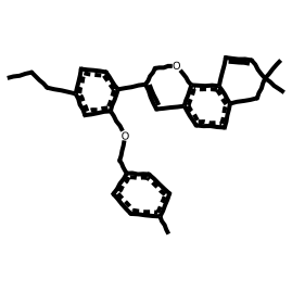 CCCc1ccc(C2=Cc3ccc4c(c3OC2)C=CC(C)(C)C4)c(OCc2ccc(C)cc2)c1